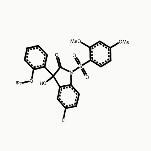 COc1ccc(S(=O)(=O)N2C(=O)C(O)(c3ccccc3OC(C)C)c3cc(Cl)ccc32)c(OC)c1